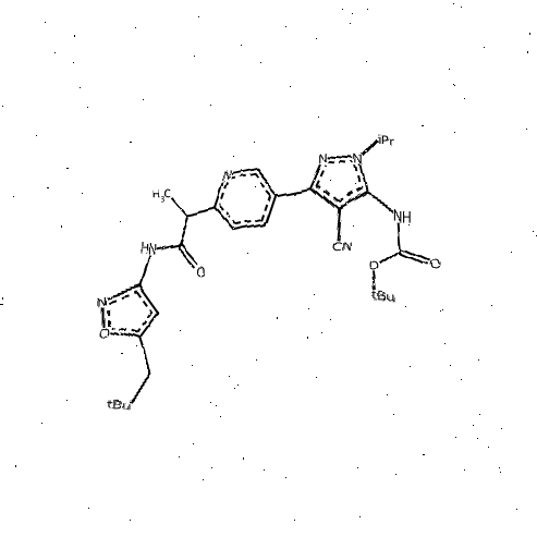 CC(C(=O)Nc1cc(CC(C)(C)C)on1)c1ccc(-c2nn(C(C)C)c(NC(=O)OC(C)(C)C)c2C#N)cn1